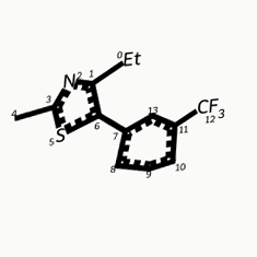 CCc1nc(C)sc1-c1cccc(C(F)(F)F)c1